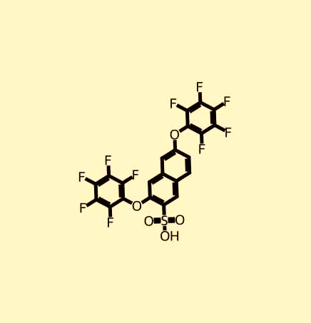 O=S(=O)(O)c1cc2ccc(Oc3c(F)c(F)c(F)c(F)c3F)cc2cc1Oc1c(F)c(F)c(F)c(F)c1F